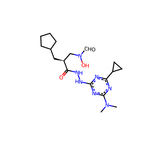 CN(C)c1nc(NNC(=O)[C@@H](CC2CCCC2)CN(O)C=O)nc(C2CC2)n1